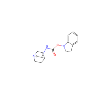 O=C(NC1CN2CCC1CC2)ON1CCc2ccccc21